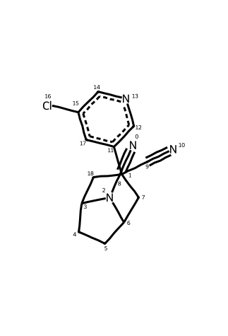 N#CN1C2CCC1CC(C#N)(c1cncc(Cl)c1)C2